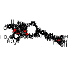 CC[C@H](C)[C@@H]1NC(=O)[C@H](CC(C)C)NC(=O)C2(CCN(C(=O)CN3CCN(CC(=O)O)CCN(CC(=O)O)CCN(CC(=O)O)CC3)CC2)NC(=O)[C@@H](NC(=O)[C@@H](CC(C)C)NC(=O)[C@H](CCC(=O)O)NC(=O)[C@@H]2CCCN2C(=O)CCc2c[nH]c3ccc(Cl)cc23)CSCc2cccc(n2)CSC[C@@H](C(=O)NC2CCN(CC(=O)N[C@H](CNC(=O)CN(CC(=O)NC(CO)CO)CC(=O)NC(CO)CO)C(N)=O)CC2)NC1=O